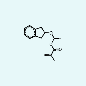 C=C(C)C(=O)OC(C)OC1Cc2ccccc2C1